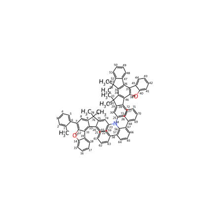 Cc1ccccc1-c1cc2c(c3c1oc1ccccc13)-c1ccc(N(c3ccc4c(c3)C(C)(C)c3c5c(c6c(oc7ccccc76)c3-4)-c3ccccc3C5(C)C)c3c(-c4ccccc4)cccc3-c3ccccc3)cc1C2(C)C